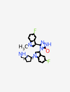 Cn1cc(-c2n[nH]c(=O)n2-c2cn([C@H]3CC[C@@H](CN)C3)c3ccc(F)cc23)c2cc(F)ccc21